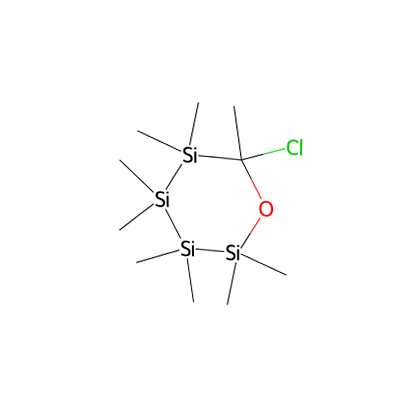 CC1(Cl)O[Si](C)(C)[Si](C)(C)[Si](C)(C)[Si]1(C)C